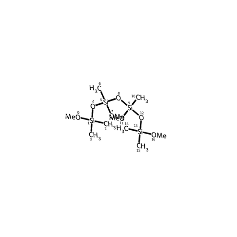 CO[Si](C)(C)O[Si](C)(OC)O[Si](C)(OC)O[Si](C)(C)OC